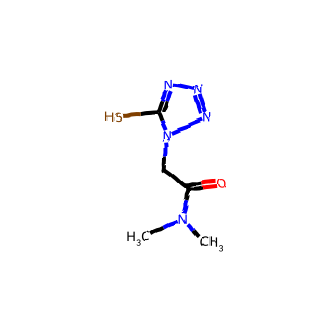 CN(C)C(=O)Cn1nnnc1S